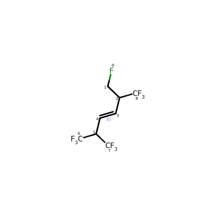 FCC(/C=C/C(C(F)(F)F)C(F)(F)F)C(F)(F)F